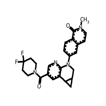 Cn1ccc2cc(N3CC4CC4c4cc(C(=O)N5CCC(F)(F)CC5)cnc43)ccc2c1=O